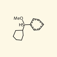 CO[SiH](c1ccccc1)C1CCCCC1